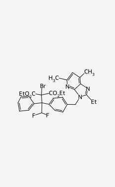 CCOC(=O)C(Br)(C(=O)OCC)C(c1ccccc1)(c1ccc(Cn2c(CC)nc3c(C)cc(C)nc32)cc1)C(F)F